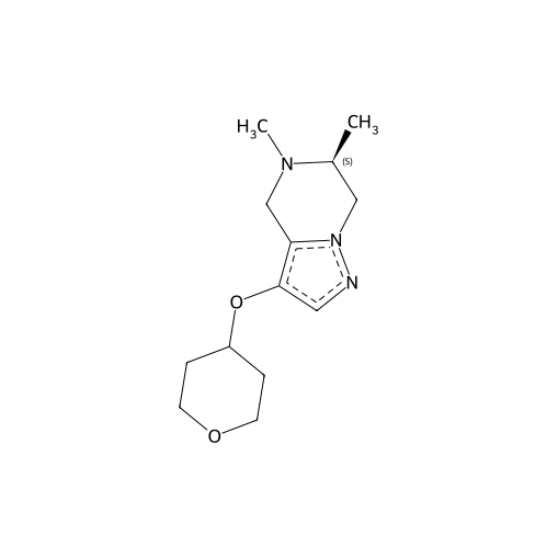 C[C@H]1Cn2ncc(OC3CCOCC3)c2CN1C